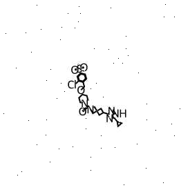 CS(=O)(=O)c1ccc(COC2CCN(C(=O)N3CC4(CC(c5n[nH]c(C6CC6)n5)C4)C3)CC2)c(Cl)c1